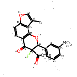 COC(=O)C1(F)C(=O)c2ccc3occ(C)c3c2OC1c1cccc([N+](=O)[O-])c1